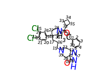 Cc1cccc(N2CNC(=O)C23CCN(CCCC2(c4ccc(Cl)c(Cl)c4)CCN(C(=O)C4CCC4)C2)CC3)c1